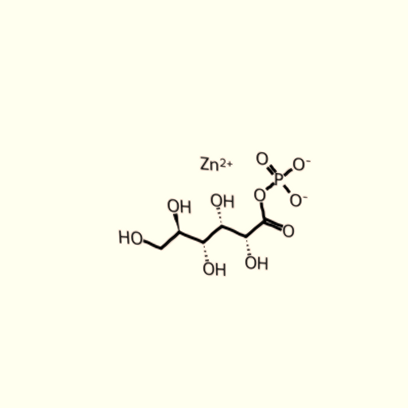 O=C(OP(=O)([O-])[O-])[C@H](O)[C@@H](O)[C@H](O)[C@H](O)CO.[Zn+2]